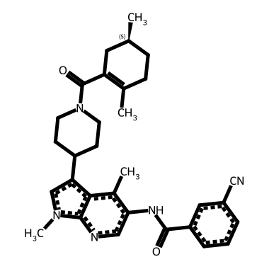 CC1=C(C(=O)N2CCC(c3cn(C)c4ncc(NC(=O)c5cccc(C#N)c5)c(C)c34)CC2)C[C@@H](C)CC1